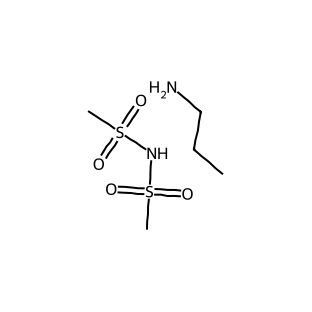 CCCN.CS(=O)(=O)NS(C)(=O)=O